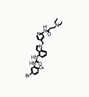 CCN(CC)CCC(=O)Nc1cc(Cn2ccc3c(NC(=O)Nc4cc(Br)ccc4OC)cccc32)ccn1